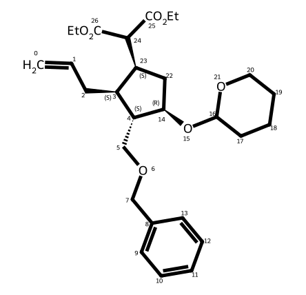 C=CC[C@@H]1[C@@H](COCc2ccccc2)[C@H](OC2CCCCO2)C[C@@H]1C(C(=O)OCC)C(=O)OCC